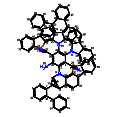 N#Cc1c(N2C3=C(c4ccccc4-c4ccccc4)C(=C3)c3ccc4c(sc5ccccc54)c32)c(N)c(C#N)c(-n2c3cccc(-c4ccccc4-c4cccc5ccccc45)c3c3ccc4c5ccccc5sc4c32)c1-n1c2ccccc2c2ccccc21